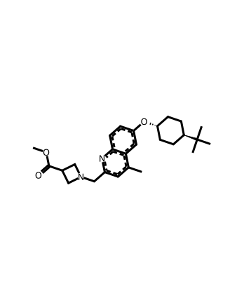 COC(=O)C1CN(Cc2cc(C)c3cc(O[C@H]4CC[C@H](C(C)(C)C)CC4)ccc3n2)C1